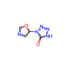 O=c1[nH]nnn1-c1cnco1